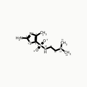 Cc1nc(N)sc1S(=O)(=O)NCCN(C)C